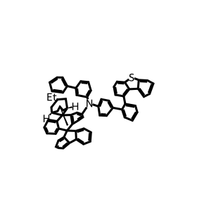 CC[C@@H]1C[C@H]2C[C@H](C)C[C@@H](C1)C21c2ccccc2C2(c3ccccc3-c3ccccc32)c2ccc(N(c3ccc(-c4ccccc4-c4cccc5sc6ccccc6c45)cc3)c3cccc(-c4ccccc4)c3)cc21